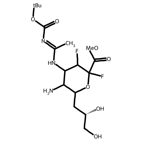 COC(=O)C1(F)OC(C[C@H](O)CO)C(N)C(N/C(C)=N/C(=O)OC(C)(C)C)C1F